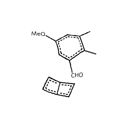 COc1cc(C)c(C)c(C=O)c1.c1cc2ccc1-2